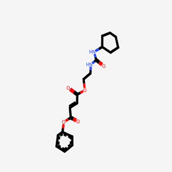 O=C(NCCOC(=O)/C=C/C(=O)Oc1ccccc1)NC1CCCCC1